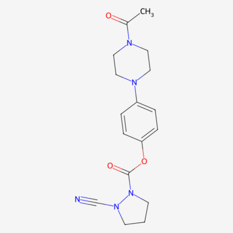 CC(=O)N1CCN(c2ccc(OC(=O)N3CCCN3C#N)cc2)CC1